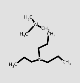 CCCN(CCC)CCC.[CH3][Al]([CH3])[CH3]